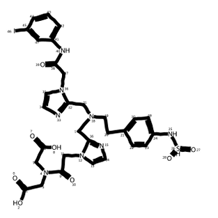 O=C(O)CN(CC(=O)O)C(=O)Cn1ccnc1CN(CCc1ccc(N[SH](=O)=O)cc1)Cc1nccn1CC(=O)Nc1cccc(I)c1